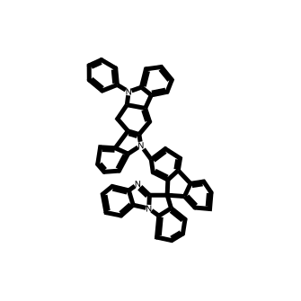 C1=C2c3ccccc3N(c3ccccc3)C2Cc2c1n(-c1ccc3c(c1)C1(c4ccccc4-3)c3ccccc3-n3c1nc1ccccc13)c1ccccc21